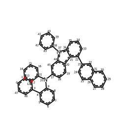 c1ccc(-c2ccccc2N(c2ccccc2)c2ccc3c4c(-c5ccc6ccccc6c5)cccc4n(-c4ccccc4)c3c2)cc1